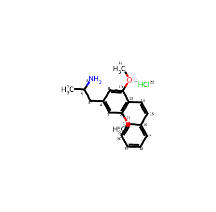 COc1cc(CC(C)N)cc(OC)c1/C=C\c1ccccc1.Cl